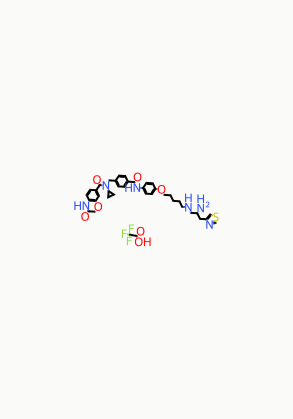 N[C@H](CNCCCCCOc1ccc(NC(=O)c2ccc(CN(C(=O)c3ccc4c(c3)OCC(=O)N4)C3CC3)cc2)cc1)Cc1cscn1.O=C(O)C(F)(F)F